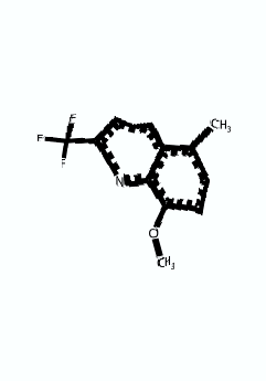 COc1ccc(C)c2ccc(C(F)(F)F)nc12